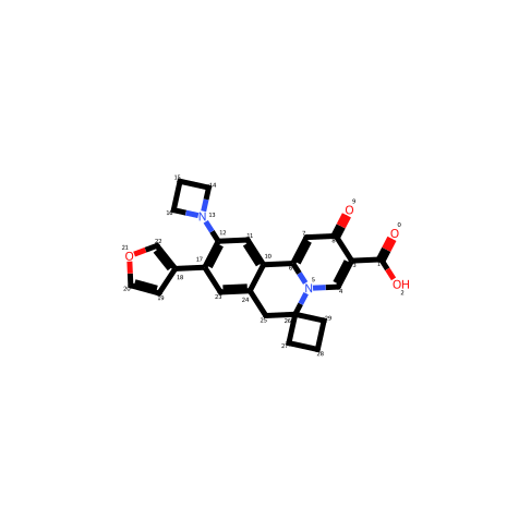 O=C(O)c1cn2c(cc1=O)-c1cc(N3CCC3)c(-c3ccoc3)cc1CC21CCC1